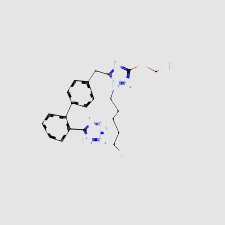 CCCCCCn1nc(OCC)nc1Cc1ccc(-c2ccccc2-c2nnn[nH]2)cc1